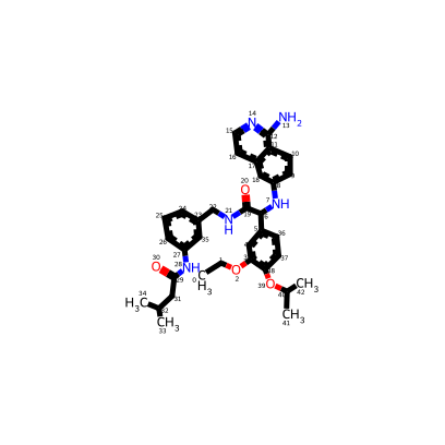 CCOc1cc(C(Nc2ccc3c(N)nccc3c2)C(=O)NCc2cccc(NC(=O)CC(C)C)c2)ccc1OC(C)C